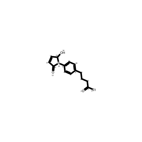 CCC(=O)CCCc1ccc(N2C(=O)C=CC2O)cc1